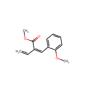 C=CC(=Cc1ccccc1OC)C(=O)OC